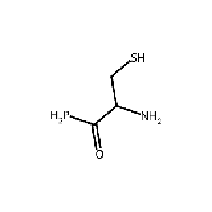 NC(CS)C(=O)P